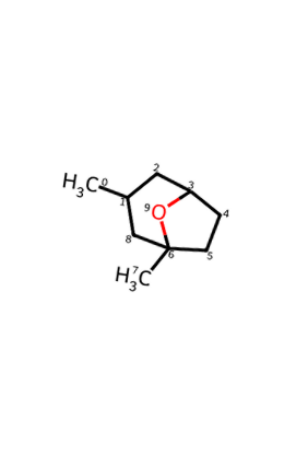 CC1CC2CCC(C)(C1)O2